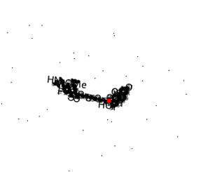 COc1c(N2CCNC(C)C2)c(F)cc2c(=O)c(C(=O)OCCOCCOCC[CH]C(=O)[C@]3(O)[C@@H](C)C[C@@H]4[C@H]5CCC6=CC(=O)C=C[C@@]6(C)[C@]5(F)[C@H](O)C[C@]43C)cn(C3CC3)c12